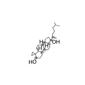 CC(C)CCC[C@@H](C)[C@@]1(O)CC[C@H]2[C@@H]3CC=C4C5(CC5)[C@H](O)CC[C@]4(C)[C@H]3CC[C@@]21C